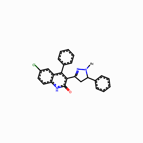 CC(=O)N1N=C(c2c(-c3ccccc3)c3cc(Cl)ccc3[nH]c2=O)CC1c1ccccc1